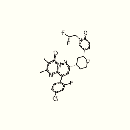 Cc1nc2c(-c3ccc(Cl)cc3F)cc([C@H]3CCO[C@@H](c4ccc(=O)n(CC(F)F)c4)C3)nn2c(=O)c1C